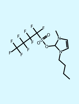 CCCCN1C=CN(C)C1OS(=O)(=O)C(F)(F)C(F)(F)C(F)(F)C(F)(F)F